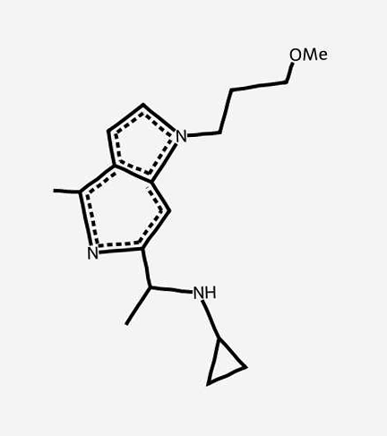 COCCCn1ccc2c(C)nc(C(C)NC3CC3)cc21